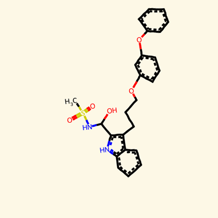 CS(=O)(=O)NC(O)c1[nH]c2ccccc2c1CCCOc1cccc(Oc2ccccc2)c1